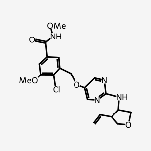 C=CC1COCC1Nc1ncc(OCc2cc(C(=O)NOC)cc(OC)c2Cl)cn1